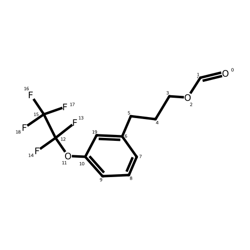 O=[C]OCCCc1cccc(OC(F)(F)C(F)(F)F)c1